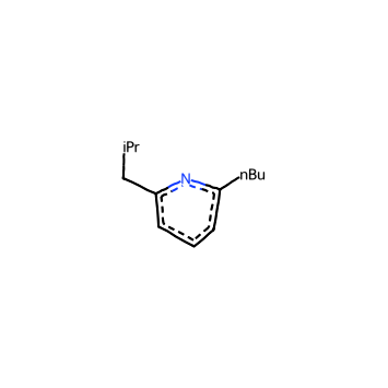 CCCCc1cccc(CC(C)C)n1